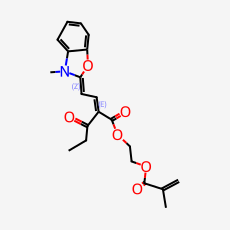 C=C(C)C(=O)OCCOC(=O)/C(=C/C=C1\Oc2ccccc2N1C)C(=O)CC